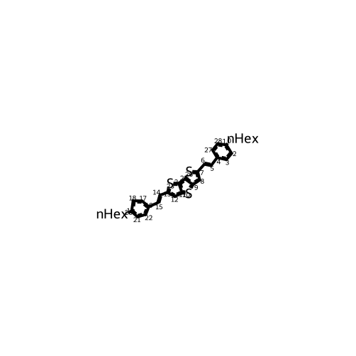 CCCCCCc1ccc(/C=C/c2cc3sc4cc(/C=C/c5ccc(CCCCCC)cc5)sc4c3s2)cc1